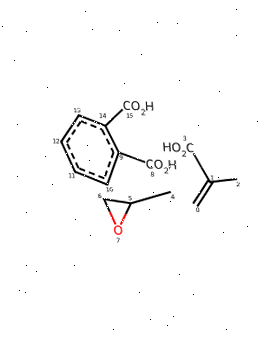 C=C(C)C(=O)O.CC1CO1.O=C(O)c1ccccc1C(=O)O